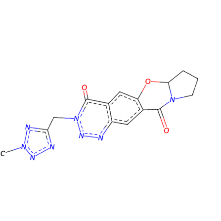 Cn1nnc(Cn2nnc3cc4c(cc3c2=O)OC2CCCN2C4=O)n1